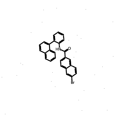 O=C(Nc1ccccc1-c1cccc2ccccc12)c1ccc2cc(Br)ccc2c1